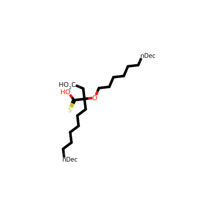 CCCCCCCCCCCCCCCCOC(CCCCCCCCCCCCCCCC)(CC(=O)O)C(O)=S